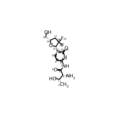 C[C@H](O)[C@@H](N)C(=O)Nc1ccn([C@@H]2O[C@H](CO)CC2(F)F)c(=O)n1